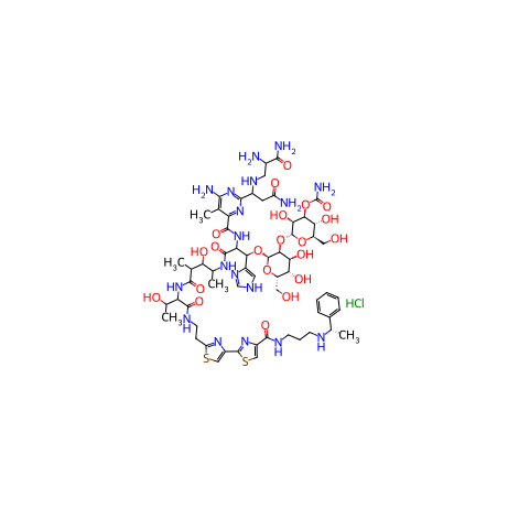 Cc1c(N)nc(C(CC(N)=O)NCC(N)C(N)=O)nc1C(=O)NC(C(=O)NC(C)C(O)C(C)C(=O)NC(C(=O)NCCc1nc(-c2nc(C(=O)NCCCN[C@@H](C)c3ccccc3)cs2)cs1)C(C)O)C(O[C@@H]1O[C@@H](CO)[C@@H](O)[C@H](O)[C@@H]1O[C@H]1O[C@H](CO)[C@@H](O)[C@H](OC(N)=O)[C@@H]1O)c1c[nH]cn1.Cl